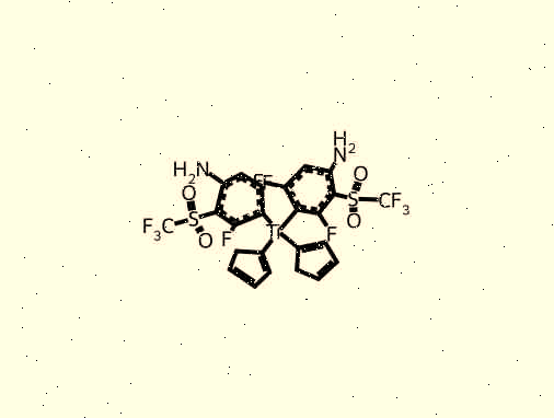 Nc1cc(F)[c]([Ti]([C]2=CC=CC2)([C]2=CC=CC2)[c]2c(F)cc(N)c(S(=O)(=O)C(F)(F)F)c2F)c(F)c1S(=O)(=O)C(F)(F)F